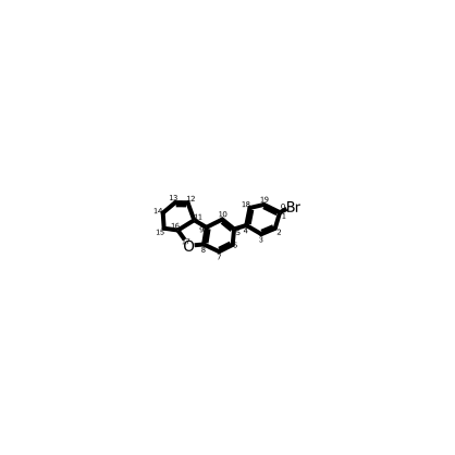 Brc1ccc(-c2ccc3c(c2)C2C=CCCC2O3)cc1